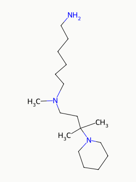 CN(CCCCCCN)CCC(C)(C)N1CCCCC1